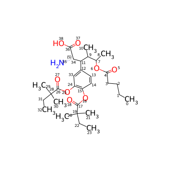 CCCCC(=O)OC(C)C(C)C(c1ccc(OC(=O)C(C)(C)CC)c(OC(=O)C(C)(C)CC)c1)[C@H](N)C(=O)O